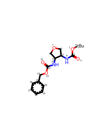 CC(C)(C)OC(=O)NC1COCC1NC(=O)OCc1ccccc1